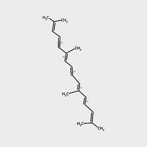 CC(C)=C/C=C/C(C)=C/C=C/C=C(C)/C=C/C=C(C)C